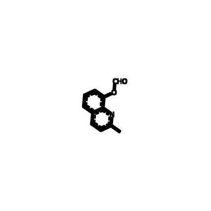 Cc1ccc2cccc(OC=O)c2n1